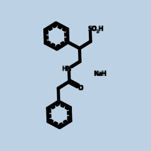 O=C(Cc1ccccc1)NCC(CS(=O)(=O)O)c1ccccc1.[NaH]